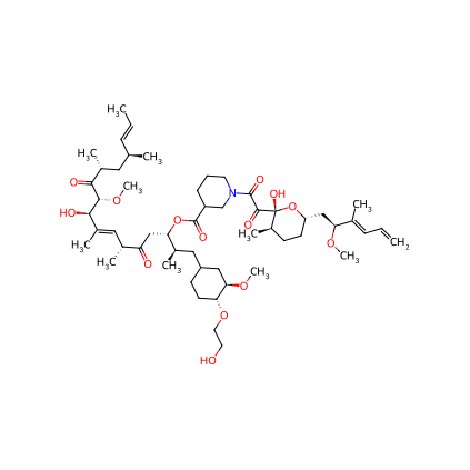 C=C/C=C(\C)[C@H](C[C@@H]1CC[C@@H](C)[C@](O)(C(=O)C(=O)N2CCCC(C(=O)O[C@@H](CC(=O)[C@H](C)/C=C(\C)[C@@H](O)[C@@H](OC)C(=O)[C@H](C)C[C@H](C)/C=C/C)[C@H](C)CC3CC[C@@H](OCCO)[C@H](OC)C3)C2)O1)OC